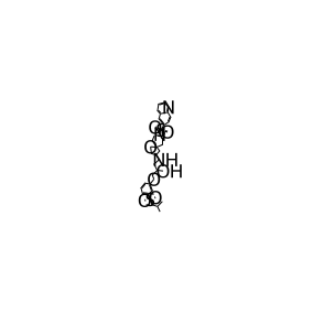 CC(C)CS(=O)(=O)c1cccc(OCC(O)CNC2COC3(CCN(S(=O)(=O)c4ccc5ncccc5c4)CC3)C2)c1